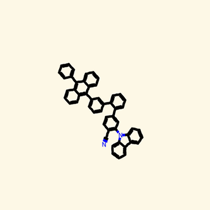 N#Cc1ccc(-c2ccccc2-c2cccc(-c3c4ccccc4c(-c4ccccc4)c4ccccc34)c2)cc1-n1c2ccccc2c2ccccc21